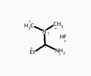 CCC(N)N(C)C.F